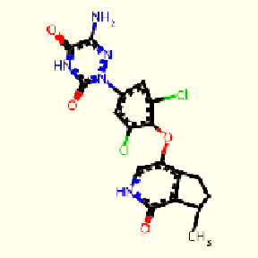 CC1CCc2c(Oc3c(Cl)cc(-n4nc(N)c(=O)[nH]c4=O)cc3Cl)c[nH]c(=O)c21